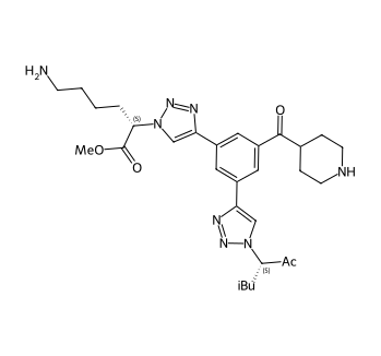 CCC(C)[C@@H](C(C)=O)n1cc(-c2cc(C(=O)C3CCNCC3)cc(-c3cn([C@@H](CCCCN)C(=O)OC)nn3)c2)nn1